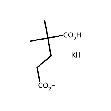 CC(C)(CCC(=O)O)C(=O)O.[KH]